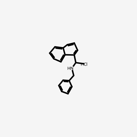 CC(NCc1ccccc1)c1cccc2ccccc12.Cl